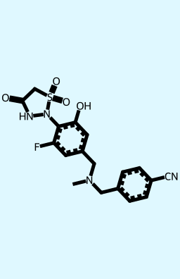 CN(Cc1ccc(C#N)cc1)Cc1cc(O)c(N2NC(=O)CS2(=O)=O)c(F)c1